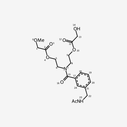 COCC(=O)OCCN(CCOC(=O)CO)C(=O)c1cccc(CNC(C)=O)c1